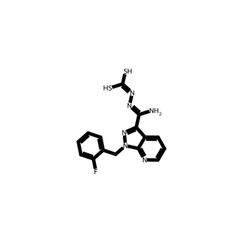 N/C(=N\N=C(S)S)c1nn(Cc2ccccc2F)c2ncccc12